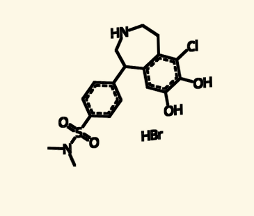 Br.CN(C)S(=O)(=O)c1ccc(C2CNCCc3c2cc(O)c(O)c3Cl)cc1